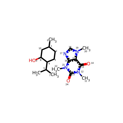 CC1CCC(C(C)C)C(O)C1.Cn1c(=O)c2c(ncn2C)n(C)c1=O